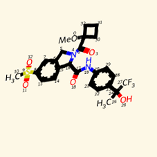 COC1(C(=O)N2Cc3cc(S(C)(=O)=O)ccc3C2C(=O)Nc2ccc(C(C)(O)C(F)(F)F)cc2)CCC1